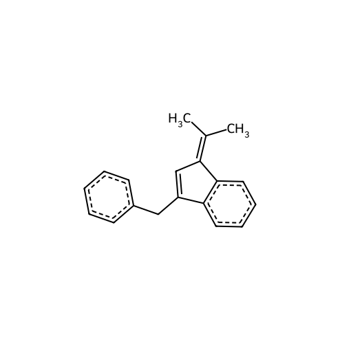 CC(C)=C1C=C(Cc2ccccc2)c2ccccc21